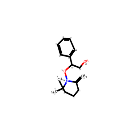 C=C1CCCC(C)(C)N1OC(CO)c1ccccc1